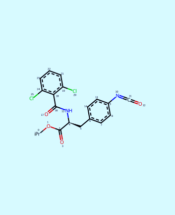 CC(C)OC(=O)[C@H](Cc1ccc(N=C=O)cc1)NC(=O)c1c(Cl)cccc1Cl